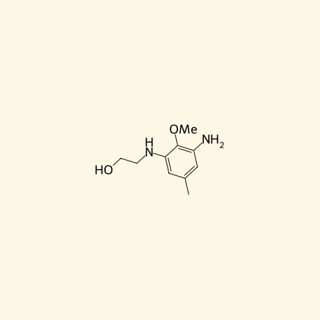 COc1c(N)cc(C)cc1NCCO